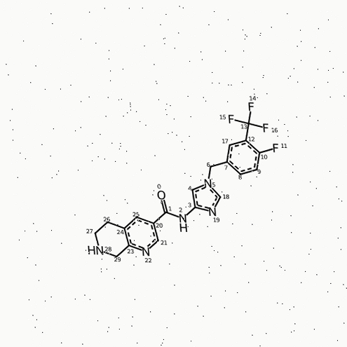 O=C(Nc1cn(Cc2ccc(F)c(C(F)(F)F)c2)cn1)c1cnc2c(c1)CCNC2